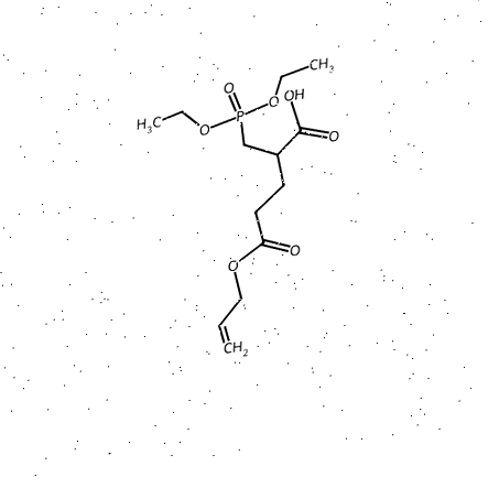 C=CCOC(=O)CCC(CP(=O)(OCC)OCC)C(=O)O